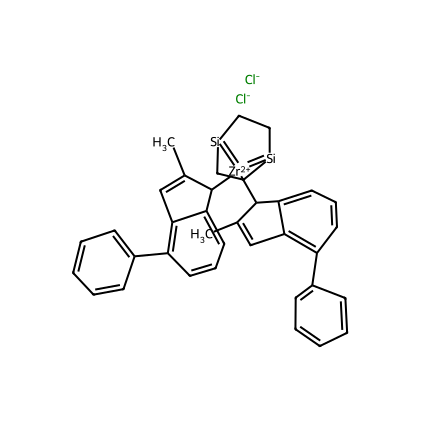 CC1=Cc2c(-c3ccccc3)cccc2[CH]1[Zr+2]1([CH]2C(C)=Cc3c(-c4ccccc4)cccc32)=[Si]2CC[Si]=1CC2.[Cl-].[Cl-]